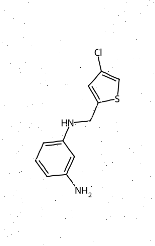 Nc1cccc(NCc2cc(Cl)cs2)c1